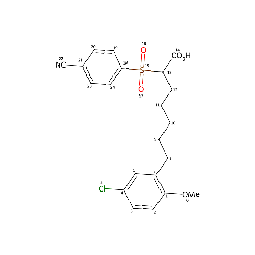 COc1ccc(Cl)cc1CCCCCC(C(=O)O)S(=O)(=O)c1ccc(C#N)cc1